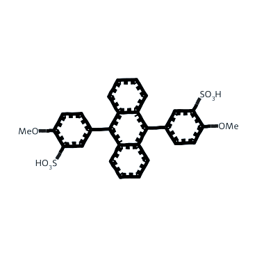 COc1ccc(-c2c3ccccc3c(-c3ccc(OC)c(S(=O)(=O)O)c3)c3ccccc23)cc1S(=O)(=O)O